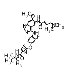 COc1cc2ncnc(Nc3ccc(Oc4nc(C(=O)NC(C)(C)C)cs4)cc3F)c2cc1NC(=O)/C=C/CN(C)C